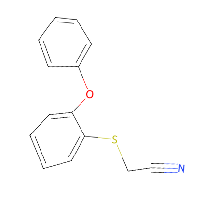 N#CCSc1ccccc1Oc1ccccc1